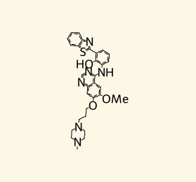 COc1cc2c(Nc3cccc(-c4nc5ccccc5s4)c3O)ncnc2cc1OCCCN1CCN(C)CC1